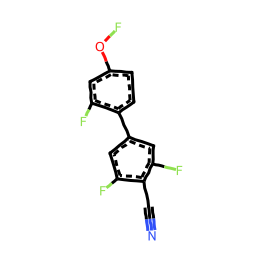 N#Cc1c(F)cc(-c2ccc(OF)cc2F)cc1F